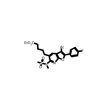 CCOC(=O)CCCCc1cc2c(C(C)=O)c(-c3ccc(F)cc3)oc2nc1N(C)S(C)(=O)=O